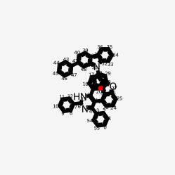 c1ccc(C2=NC(c3ccccc3)NC(c3ccccc3)=C2c2cccc3oc4cc(-n5c6ccccc6c6ccc(-c7ccccc7)cc65)ccc4c23)cc1